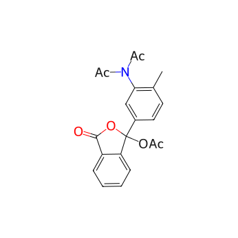 CC(=O)OC1(c2ccc(C)c(N(C(C)=O)C(C)=O)c2)OC(=O)c2ccccc21